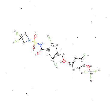 O=C(NS(=O)(=O)N1CC(F)(F)C1)c1cc(Cl)c(COc2ccc(OC(F)(F)F)c(Cl)c2)cc1F